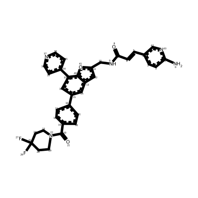 Nc1ccc(C=CC(=O)NCc2cc3cc(-c4ccc(C(=O)N5CCC(F)(F)CC5)cc4)cc(-c4ccncc4)c3o2)cn1